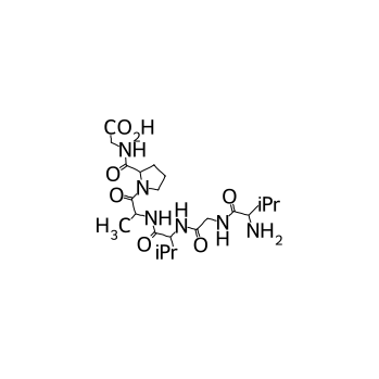 CC(NC(=O)C(NC(=O)CNC(=O)C(N)C(C)C)C(C)C)C(=O)N1CCCC1C(=O)NCC(=O)O